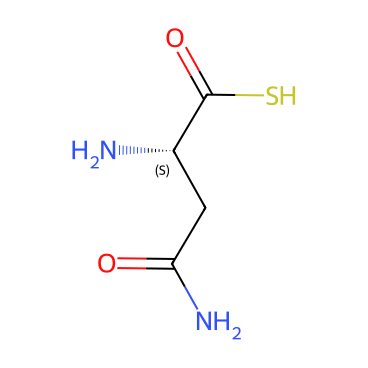 NC(=O)C[C@H](N)C(=O)S